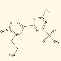 CS(=O)(=O)c1nc(-c2ccc(=O)n(CCN)c2)cc(C(F)(F)F)n1